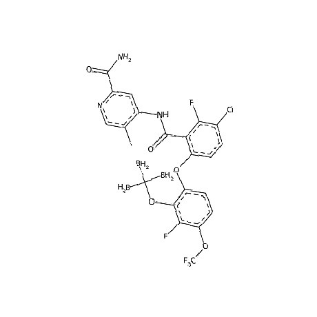 BC(B)(B)Oc1c(Oc2ccc(Cl)c(F)c2C(=O)Nc2cc(C(N)=O)ncc2C)ccc(OC(F)(F)F)c1F